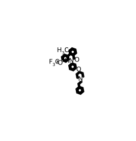 Cc1cccc(C(=O)Nc2cccc(OC3CCN(CCc4ccccc4)CC3)c2)c1-c1ccc(OC(F)(F)F)cc1